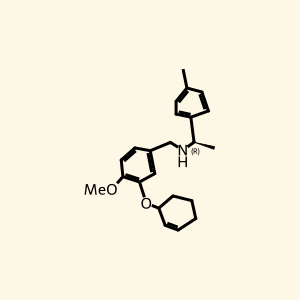 COc1ccc(CN[C@H](C)c2ccc(C)cc2)cc1OC1C=CCCC1